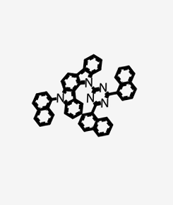 c1ccc2c(-c3nc(-c4cccc5ccccc45)nc(-n4c5ccccc5c5ccc6c(c7ccccc7n6-c6cccc7ccccc67)c54)n3)cccc2c1